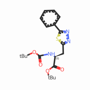 CC(C)(C)OC(=O)N[C@@H](Cc1nnc(-c2ccccc2)s1)C(=O)OC(C)(C)C